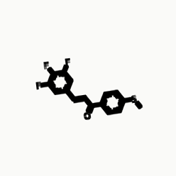 CSc1ccc(C(=O)C=Cc2cc(F)c(F)c(F)c2)cc1